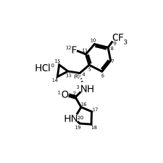 Cl.O=C(N[C@@H](c1ccc(C(F)(F)F)cc1F)C1CC1)C1CCCN1